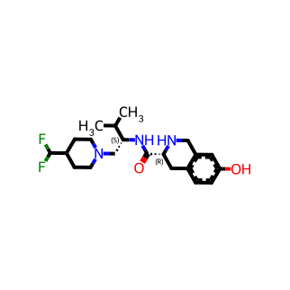 CC(C)[C@@H](CN1CCC(C(F)F)CC1)NC(=O)[C@H]1Cc2ccc(O)cc2CN1